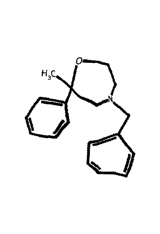 CC1(c2ccccc2)CN(Cc2ccccc2)CCO1